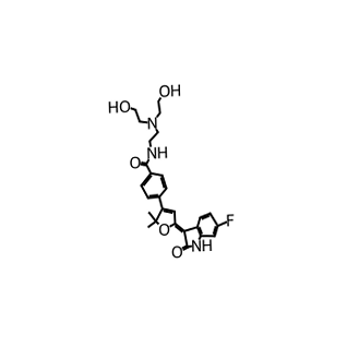 CC1(C)OC(=C2C(=O)Nc3cc(F)ccc32)C=C1c1ccc(C(=O)NCCN(CCO)CCO)cc1